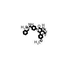 COc1ccc(C2CN(c3ccc(C(=N)N(C)Cc4ccccc4)cc3)C(=O)c3[nH]nc(C(F)(F)F)c32)cc1